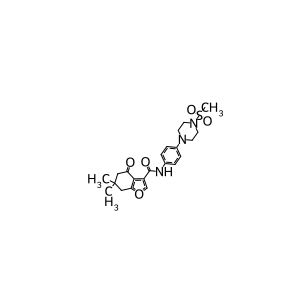 CC1(C)CC(=O)c2c(C(=O)Nc3ccc(N4CCN(S(C)(=O)=O)CC4)cc3)coc2C1